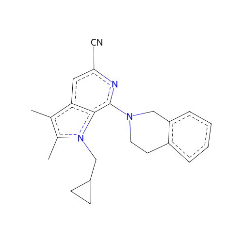 Cc1c(C)n(CC2CC2)c2c(N3CCc4ccccc4C3)nc(C#N)cc12